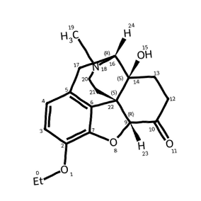 CCOc1ccc2c3c1O[C@H]1C(=O)CC[C@@]4(O)[C@@H](C2)N(C)CC[C@]314